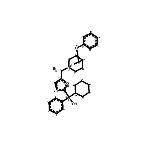 O[C@@](c1ccccc1)(c1ncc(C[N+]23CCC(CC2)C(Oc2ccccc2)C3)o1)C1CCCCC1.[Br-]